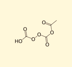 CC(=O)OC(=O)OOC(=O)O